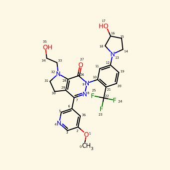 COc1cncc(-c2nn(-c3cc(N4CCC(O)C4)ccc3C(F)(F)F)c(=O)c3c2CCN3CCO)c1